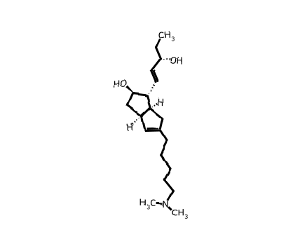 CC[C@H](O)/C=C/[C@@H]1[C@H]2CC(CCCCCN(C)C)=C[C@H]2C[C@H]1O